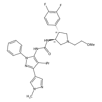 COCCN1C[C@@H](NC(=O)Nc2c(C(C)C)c(-c3cnn(C)c3)nn2-c2ccccc2)[C@H](c2ccc(F)c(F)c2)C1